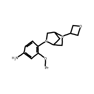 CC(C)Oc1cc(N)ccc1N1CC2CC1CN2C1COC1